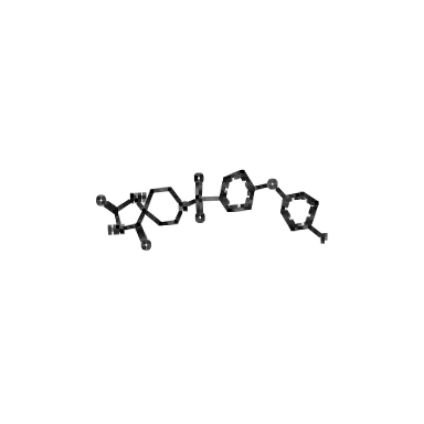 O=C1NC(=O)C2(CCN(S(=O)(=O)c3ccc(Oc4ccc(F)cc4)cc3)CC2)N1